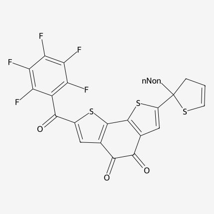 CCCCCCCCCC1(c2cc3c(s2)-c2sc(C(=O)c4c(F)c(F)c(F)c(F)c4F)cc2C(=O)C3=O)CC=CS1